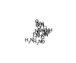 NC(=O)c1ccc(Nc2ncc(F)c(N[C@H]3CC[C@@H](N)CC3)n2)cc1.N[C@H]1CC[C@@H](Nc2nc(Nc3ccc4c(c3)CCC(=O)N4)ncc2F)CC1